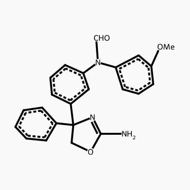 COc1cccc(N(C=O)c2cccc(C3(c4ccccc4)COC(N)=N3)c2)c1